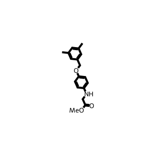 COC(=O)CNc1ccc(OCc2cc(C)cc(C)c2)cc1